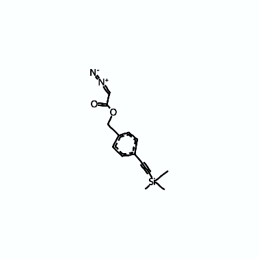 C[Si](C)(C)C#Cc1ccc(COC(=O)C=[N+]=[N-])cc1